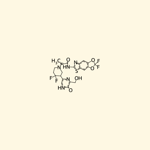 C[C@@H](C(=O)Nc1nc2cc3c(cc2s1)OC(F)(F)O3)N1CCC(F)(F)C(c2c[nH]c(=O)c(CO)n2)C1